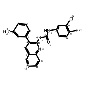 Cc1cccc(-c2cc3cnccc3nc2NC(=O)Nc2ccc(F)c(Cl)c2)c1